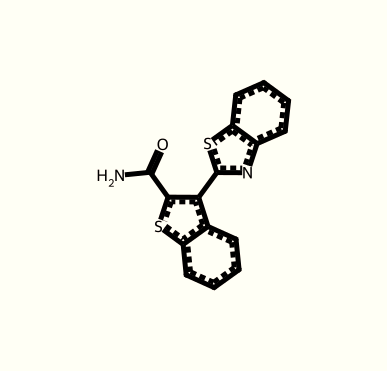 NC(=O)c1sc2ccccc2c1-c1nc2ccccc2s1